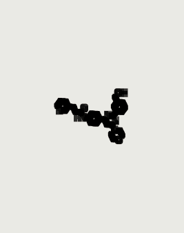 O=C(CCc1cccnc1)Nc1ccc(-c2cc(N3CCOCC3)nc(-c3cccc(CO)c3)n2)cc1